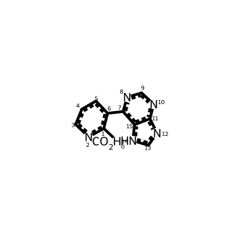 O=C(O)c1ncccc1-c1ncnc2nc[nH]c12